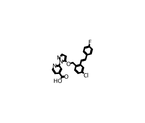 O=C(O)c1ccnc(-n2nccc2OCc2ccc(Cl)cc2C=Cc2ccc(F)cc2)c1